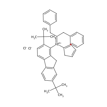 CC(C)(C)c1ccc2c(c1)Cc1c-2ccc(C(C)(C)C)[c]1[Hf+2]([C]1=CC=CC1)=[C](Cc1ccccc1)Cc1ccccc1.[Cl-].[Cl-]